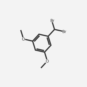 COc1cc(OC)cc(C(Br)Br)c1